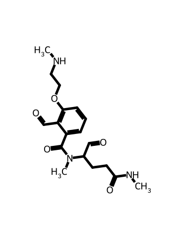 CNCCOc1cccc(C(=O)N(C)C(C=O)CCC(=O)NC)c1C=O